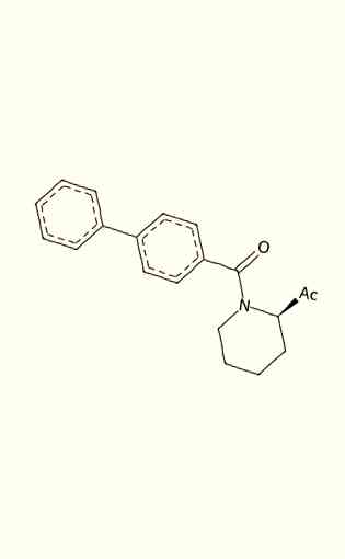 CC(=O)[C@H]1CCCCN1C(=O)c1ccc(-c2ccccc2)cc1